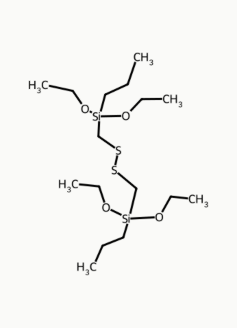 CCC[Si](CSSC[Si](CCC)(OCC)OCC)(OCC)OCC